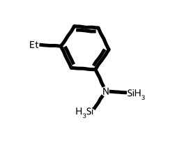 CCc1cccc(N([SiH3])[SiH3])c1